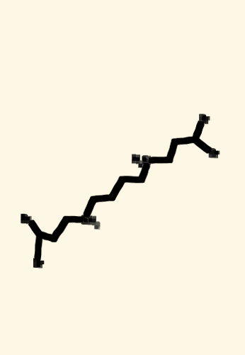 BrC(Br)CC[SiH2]CCCC[SiH2]CCC(Br)Br